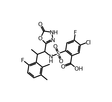 Cc1ccc(F)c(C(C)C(NS(=O)(=O)c2cc(F)c(Cl)cc2C(=O)O)c2n[nH]c(=O)o2)c1C